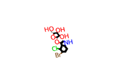 OC[C@H]1O[C@@H](Oc2c[nH]c3ccc(Br)c(Cl)c23)[C@H](O)[C@H]1O